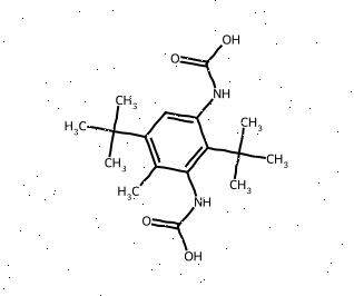 Cc1c(C(C)(C)C)cc(NC(=O)O)c(C(C)(C)C)c1NC(=O)O